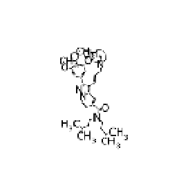 COc1cc(-c2nn3ccc(C(=O)N(CCC(C)C)CCC(C)C)cc3c2/C=C/CN2CCCCC2)cc(OC)c1OC